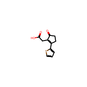 O=C(O)CC1=C(c2cccs2)CCC1=O